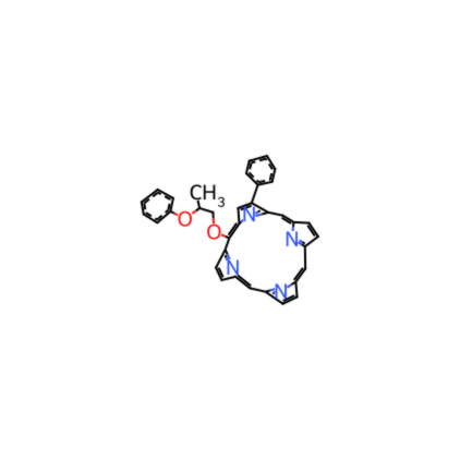 CC(COC1=C2C=C(c3ccccc3)C(=N2)C=C2C=CC(=N2)C=C2C=CC(=N2)C=C2C=CC1=N2)Oc1ccccc1